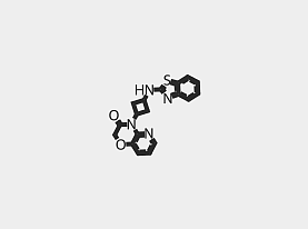 O=C1COc2cccnc2N1C1CC(Nc2nc3ccccc3s2)C1